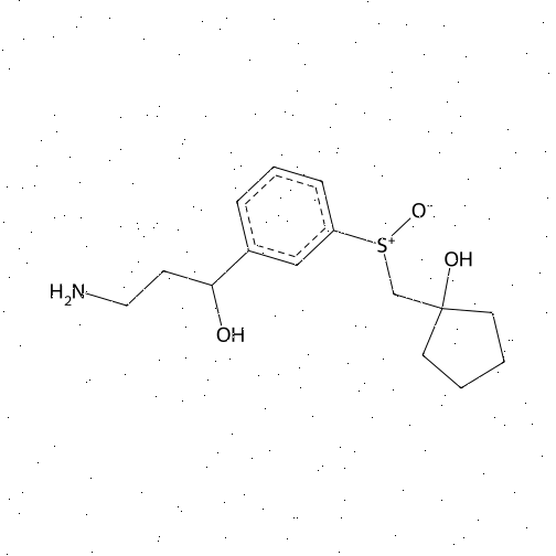 NCCC(O)c1cccc([S+]([O-])CC2(O)CCCC2)c1